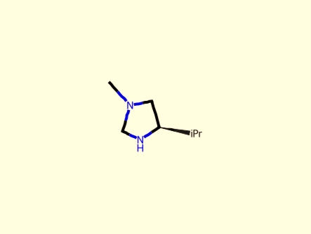 CC(C)[C@@H]1CN(C)CN1